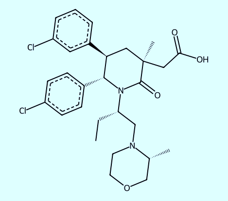 CC[C@@H](CN1CCOC[C@H]1C)N1C(=O)[C@](C)(CC(=O)O)C[C@H](c2cccc(Cl)c2)[C@H]1c1ccc(Cl)cc1